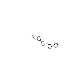 C=C(CC)C(C)(C)Cc1cccc(C2CCCN(Cc3cccc(-c4ccc(F)c(F)c4)c3)C2)c1